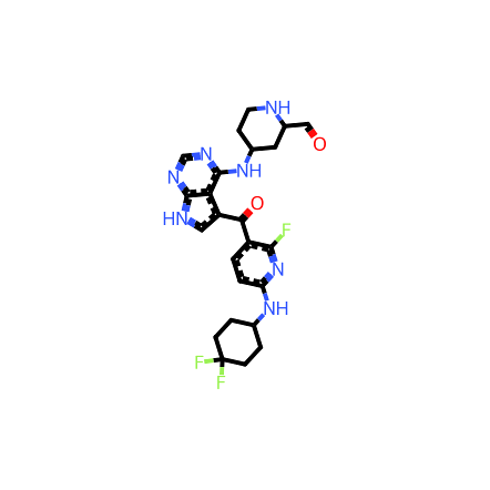 O=CC1CC(Nc2ncnc3[nH]cc(C(=O)c4ccc(NC5CCC(F)(F)CC5)nc4F)c23)CCN1